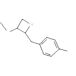 COC1CNC1Cc1ccc(Cl)cc1